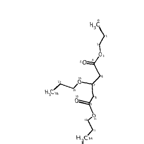 CCCOC(=O)CC(CC(=O)OCCC)OCCC